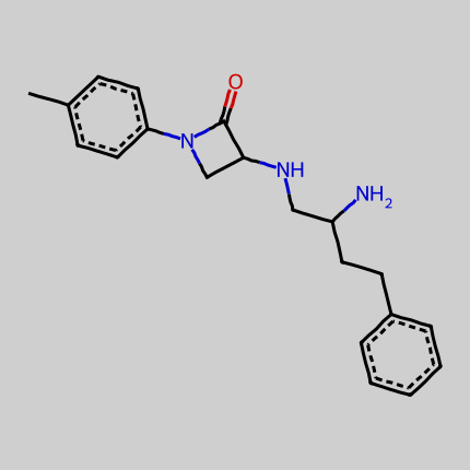 Cc1ccc(N2CC(NCC(N)CCc3ccccc3)C2=O)cc1